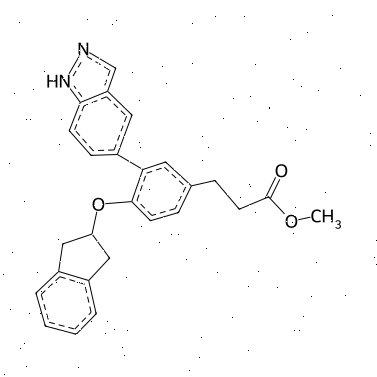 COC(=O)CCc1ccc(OC2Cc3ccccc3C2)c(-c2ccc3[nH]ncc3c2)c1